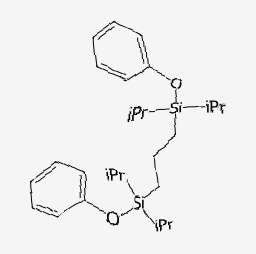 CC(C)[Si](CCC[Si](Oc1ccccc1)(C(C)C)C(C)C)(Oc1ccccc1)C(C)C